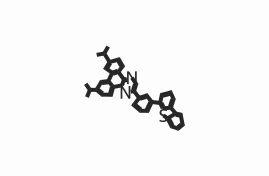 CC(C)c1ccc2c(c1)c1cc(C(C)C)ccc1c1nc(-c3cccc(-c4cccc5c4sc4ccccc45)c3)cnc21